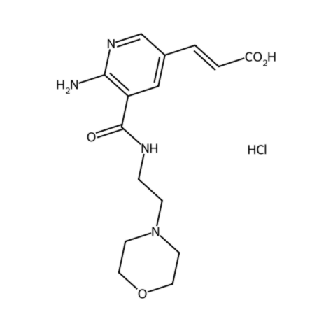 Cl.Nc1ncc(C=CC(=O)O)cc1C(=O)NCCN1CCOCC1